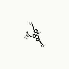 CCCCCc1ccc(C(=O)N(Cc2cccc(C#CCO)c2)C2CCN(CCC(C)C)CC2)cc1